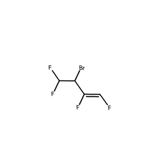 FC=C(F)C(Br)C(F)F